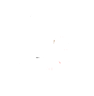 Cc1ccc(S[C@@H]2O[C@H](COC(=O)c3ccccc3)[C@@H](O)[C@H](OC(=O)c3ccccc3)[C@H]2OC(=O)c2ccccc2)cc1